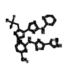 Cc1ccnc(Nc2nc(-c3cn[nH]c3)cs2)n1.FC(F)(F)Cc1n[nH]cc1-c1csc(Nc2ccccn2)n1